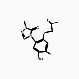 C[C@H](F)COc1cc(F)c(C(C)(C)C)cc1-n1nnn(C)c1=O